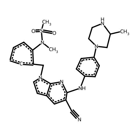 CC1CN(c2ccc(Nc3nc4c(ccn4Cc4ccccc4N(C)S(C)(=O)=O)cc3C#N)cc2)CCN1